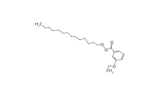 [CH2]CCCCCCCCCCCCCOOC(=O)c1cccc(OCC)c1